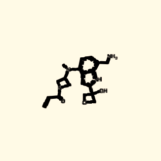 C=CC(=O)N1CC(N(C)c2ccc(CN)c3[nH]c(C4(O)COC4)cc23)C1